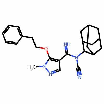 Cn1ncc(C(=N)N(C#N)C2C3CC4CC(C3)CC2C4)c1OCCc1ccccc1